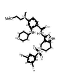 COCCN(C)c1ccc(C(=O)Nc2n[nH]c3c2CN(S(=O)(=O)c2cc(F)cc(F)c2)CC3)c(NC2CCOCC2)c1